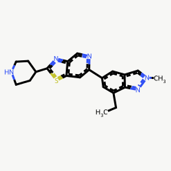 CCc1cc(-c2cc3sc(C4CCNCC4)nc3cn2)cc2cn(C)nc12